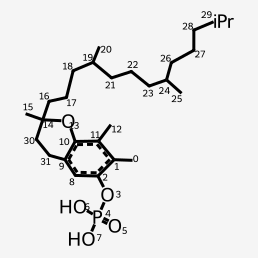 Cc1c(OP(=O)(O)O)cc2c(c1C)OC(C)(CCCC(C)CCCC(C)CCCC(C)C)CC2